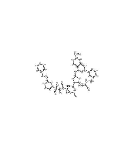 C=CC1CC1(NC(=O)C1CC(Oc2cc(-c3ccccc3)nc3cc(OC)ccc23)CC1NC(=O)OC(C)(C)C)C(=O)NS(=O)(=O)c1cccc(OCc2ccccc2)c1